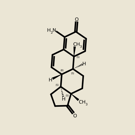 C[C@]12C=CC(=O)C(N)=C1C=C[C@@H]1[C@@H]2CC[C@]2(C)C(=O)CC[C@@H]12